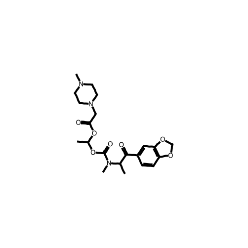 CC(OC(=O)CN1CCN(C)CC1)OC(=O)N(C)C(C)C(=O)c1ccc2c(c1)OCO2